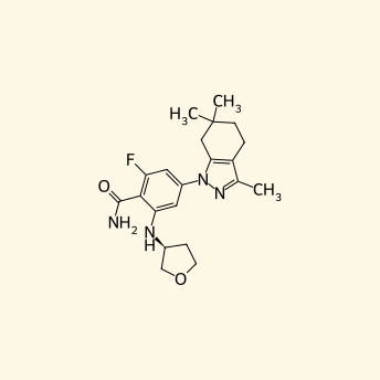 Cc1nn(-c2cc(F)c(C(N)=O)c(N[C@H]3CCOC3)c2)c2c1CCC(C)(C)C2